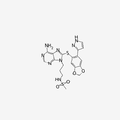 CS(=O)(=O)NCCCn1c(Sc2cc3c(cc2-c2cc[nH]n2)OCO3)nc2c(N)ncnc21